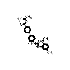 COc1ccc(C)cc1NC(=O)Nc1ccc([C@H]2CC[C@H](C(=O)OC(C)C)CC2)cc1F